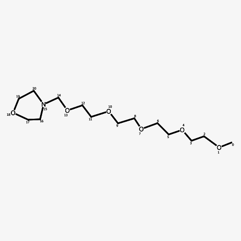 COCCOCCOCCOCCOCN1CCOCC1